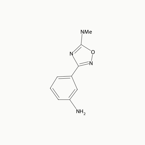 CNc1nc(-c2cccc(N)c2)no1